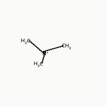 CCCCCCCCCCCCCCCCCc1cc(CCCCCCCCCCCCCCCCC)c[n+](CCCCCCCCCC)c1